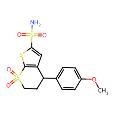 COc1ccc(C2CCS(=O)(=O)c3sc(S(N)(=O)=O)cc32)cc1